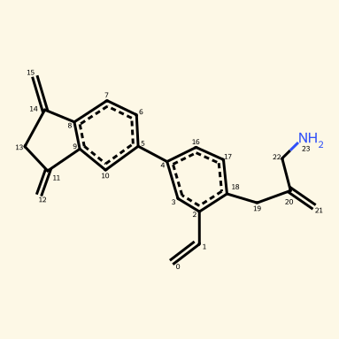 C=Cc1cc(-c2ccc3c(c2)C(=C)CC3=C)ccc1CC(=C)CN